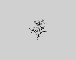 C[SiH](C)C1([Si](O[Si](C)(C)C)(O[Si](C)(C)C)O[Si](C)(C)C)CCCCO1